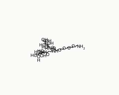 NCCOCCOCCOCCOCCC(=O)N[C@@H](CCC(=O)NC[C@H](O)[C@@H](O)[C@H](O)[C@H](O)CO)C(=O)NC[C@H](O)[C@@H](O)[C@H](O)[C@H](O)CO